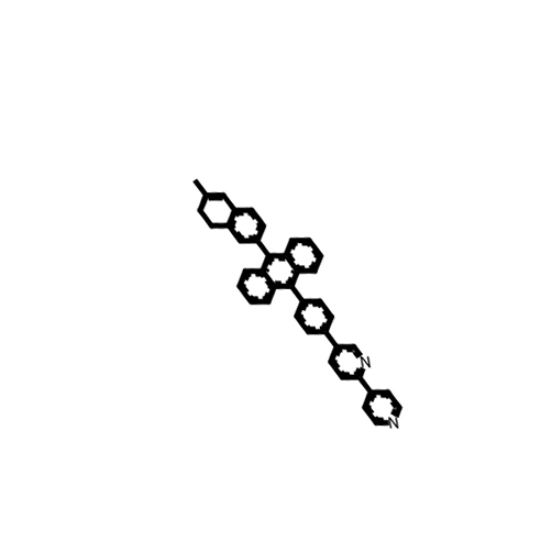 CC1=Cc2ccc(-c3c4ccccc4c(-c4ccc(-c5ccc(-c6ccncc6)nc5)cc4)c4ccccc34)cc2CC1